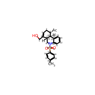 CC(=O)[C@H]1CC=C(CO)[C@H]2CN(S(=O)(=O)c3ccc(C)cc3)c3ccccc3[C@H]12